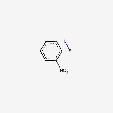 CCI.O=[N+]([O-])c1ccccc1